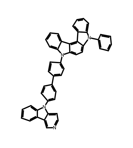 c1ccc(-n2c3ccccc3c3c4c5ccccc5n(-c5ccc(-c6ccc(-n7c8ccccc8c8cnccc87)cc6)cc5)c4ccc32)cc1